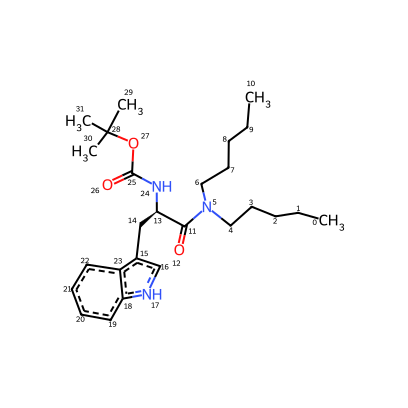 CCCCCN(CCCCC)C(=O)[C@@H](Cc1c[nH]c2ccccc12)NC(=O)OC(C)(C)C